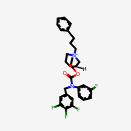 O=C(O[C@H]1C[N+]2(CCCc3ccccc3)CCC1CC2)N(Cc1cc(F)c(F)c(F)c1)c1cccc(F)c1